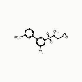 CN(CC1CO1)S(=O)(=O)c1cc(-c2cccc(C(=O)O)n2)cc(C(F)(F)F)c1